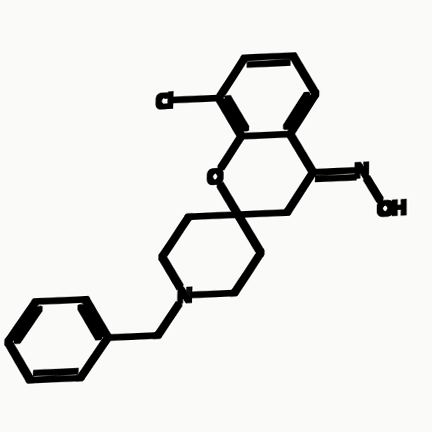 O/N=C1\CC2(CCN(Cc3ccccc3)CC2)Oc2c(Cl)cccc21